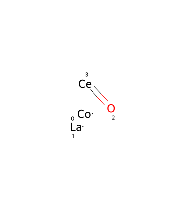 [Co].[La].[O]=[Ce]